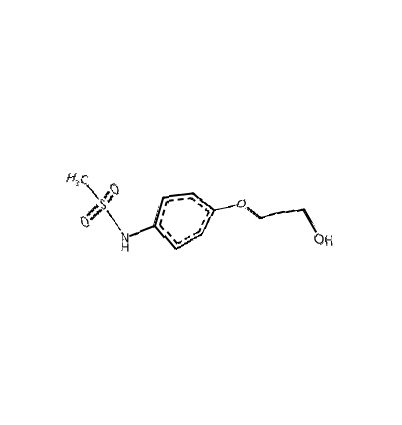 CS(=O)(=O)Nc1ccc(OCCO)cc1